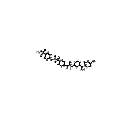 CC(C)N1CCN(C(=N)c2cccc(NC(=O)Nc3ccc(S(=O)(=O)NCc4ccc(S(N)(=O)=O)cc4)cc3)c2)CC1